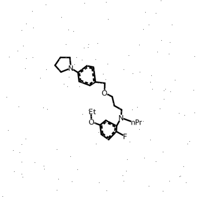 CCCN(CCCOCc1ccc(N2CCCC2)cc1)c1cc(OCC)ccc1F